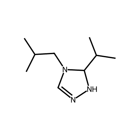 CC(C)CN1C=NNC1C(C)C